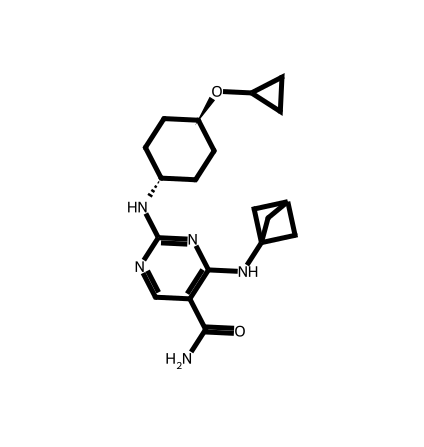 NC(=O)c1cnc(N[C@H]2CC[C@H](OC3CC3)CC2)nc1NC12CC(C1)C2